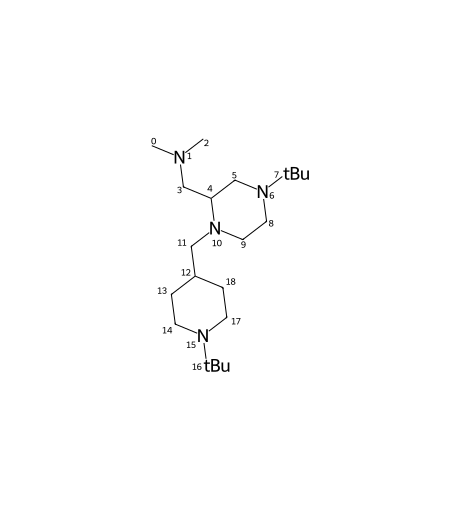 CN(C)CC1CN(C(C)(C)C)CCN1CC1CCN(C(C)(C)C)CC1